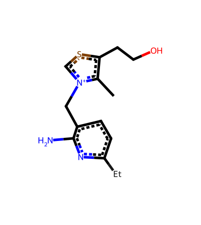 CCc1ccc(C[n+]2csc(CCO)c2C)c(N)n1